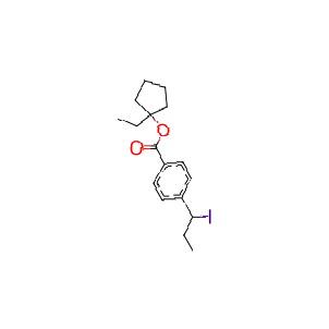 CCC(I)c1ccc(C(=O)OC2(CC)CCCC2)cc1